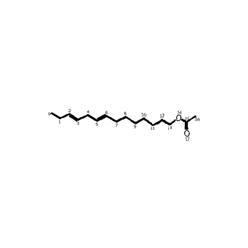 CC/C=C/C/C=C/CCCCCCCOC(C)=O